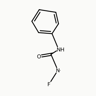 O=C([N]F)Nc1ccccc1